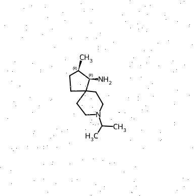 CC(C)N1CCC2(CC[C@@H](C)[C@H]2N)CC1